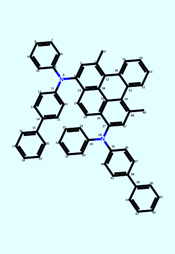 Cc1cc(N(c2ccccc2)c2ccc(-c3ccccc3)cc2)c2ccc3c(N(c4ccccc4)c4ccc(-c5ccccc5)cc4)cc(C)c4c5ccccc5c1c2c34